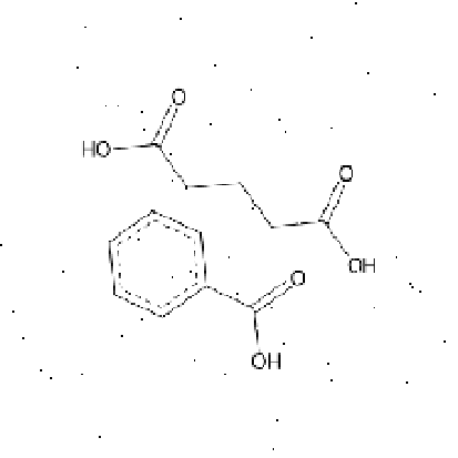 O=C(O)CCCC(=O)O.O=C(O)c1ccccc1